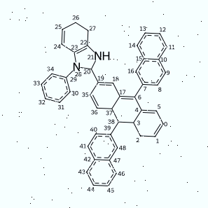 C1=CCC2C(=C1)C(c1ccc3ccccc3c1)=C1C=C(C3NC4=C(C=CCC4)N3c3ccccc3)C=CC1C2c1ccc2ccccc2c1